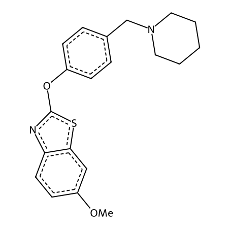 COc1ccc2nc(Oc3ccc(CN4CCCCC4)cc3)sc2c1